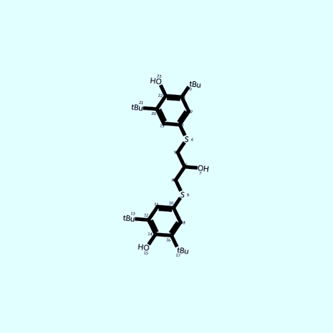 CC(C)(C)c1cc(SCC(O)CSc2cc(C(C)(C)C)c(O)c(C(C)(C)C)c2)cc(C(C)(C)C)c1O